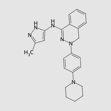 Cc1cc(NC2=NN(c3ccc(N4CCCCC4)cc3)Cc3ccccc32)[nH]n1